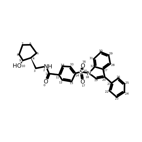 O=C(NC[C@@H]1CCCC[C@H]1O)c1ccc(S(=O)(=O)n2cc(-c3ccccc3)c3ccccc32)cc1